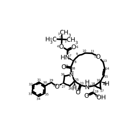 CC(C)(C)OC(=O)N[C@H]1CCCOC/C=C\[C@@H]2C[C@@]2(C(=O)O)NC(=O)[C@@H]2C[C@@H](OCc3ccccc3)CN2C1=O